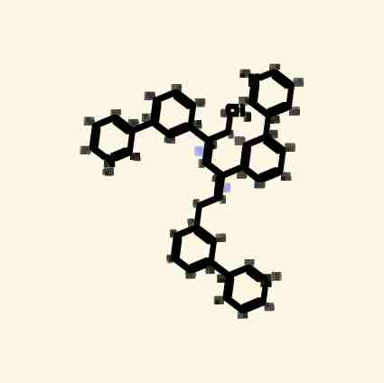 CC/C(=C\C(=C/Cc1cccc(-c2cccnc2)c1)c1cccc(-c2cccnc2)c1)c1cccc(-c2cccnc2)c1